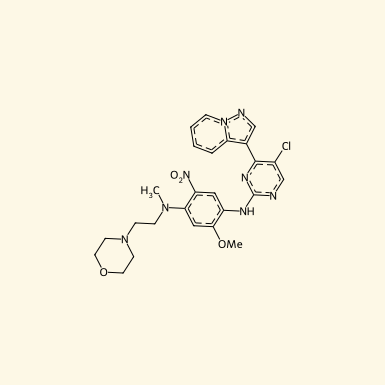 COc1cc(N(C)CCN2CCOCC2)c([N+](=O)[O-])cc1Nc1ncc(Cl)c(-c2cnn3ccccc23)n1